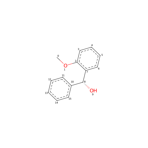 COc1ccccc1[C@H](O)c1ccccc1